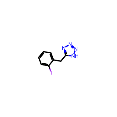 Ic1ccccc1Cc1nnn[nH]1